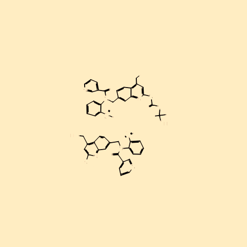 CC(C)(C)OC(=O)Nc1cc(CO)c2ccc(CN(C(=O)c3cccnc3)c3ccccc3S(C)(=O)=O)cc2n1.CS(=O)(=O)c1ccccc1N(Cc1ccc2c(CO)cc(N)nc2c1)C(=O)c1cccnc1